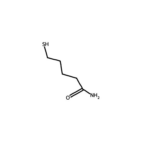 NC(=O)CCCCS